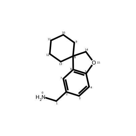 NCc1ccc2c(c1)C1(CCCCC1)CO2